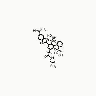 CC(C)(C(=O)NCC(N)=O)c1cc(-c2nc3cc(C(=N)N)ccc3[nH]2)c(S(=O)(=O)NO)c(-c2ccccc2S(=O)(=O)NO)c1